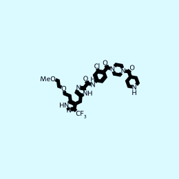 COCCOCCc1[nH]nc(C(F)(F)F)c1Cc1cnc(C(=O)Nc2ccc(C(=O)N3CCN(C(=O)C4CCNCC4)CC3)c(Cl)c2)[nH]1